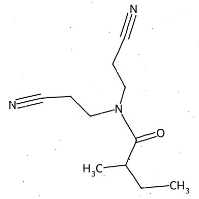 CCC(C)C(=O)N(CCC#N)CCC#N